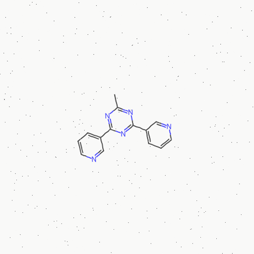 Cc1nc(-c2cccnc2)nc(-c2cccnc2)n1